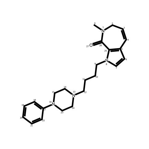 CN1CC=Cc2ccn(CCCCN3CCN(c4ccccc4)CC3)c2C1=O